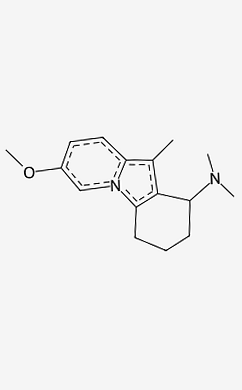 COc1ccc2c(C)c3c(n2c1)CCCC3N(C)C